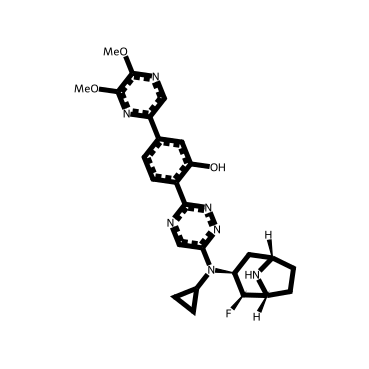 COc1ncc(-c2ccc(-c3ncc(N(C4CC4)[C@H]4C[C@@H]5CC[C@@H](N5)[C@H]4F)nn3)c(O)c2)nc1OC